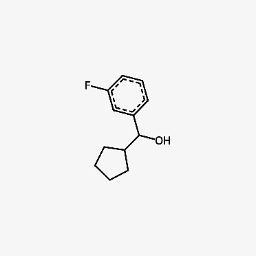 OC(c1cccc(F)c1)C1CCCC1